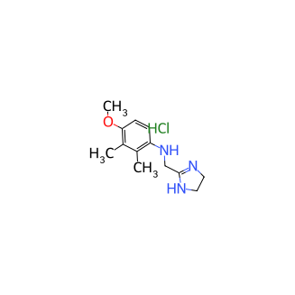 COc1ccc(NCC2=NCCN2)c(C)c1C.Cl